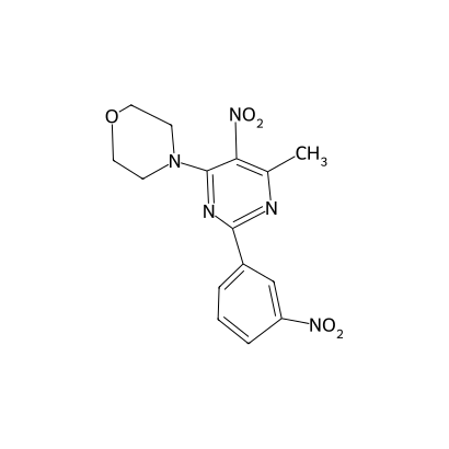 Cc1nc(-c2cccc([N+](=O)[O-])c2)nc(N2CCOCC2)c1[N+](=O)[O-]